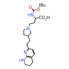 CC(C)(C)OC(=O)NC(CCN1CCC(CCc2ccc3c(n2)NCCC3)C1)C(=O)O